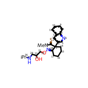 CNC(=S)C1(c2cnc3ccccc3c2)CCCCC1=NOCC(O)CNC(C)C